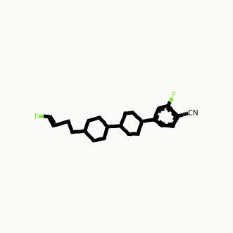 N#Cc1ccc(C2CCC(C3CCC(CC/C=C/F)CC3)CC2)cc1F